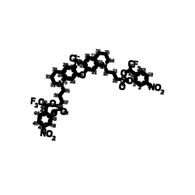 O=[N+]([O-])c1ccc(C(OS(=O)(=O)CCCN2CCCc3cc4c(cc32)Oc2cc3c(cc2=N4)CCC[N+]=3CCCS(=O)(=O)OC(c2ccc([N+](=O)[O-])cc2)C(F)(F)F)C(F)(F)F)cc1.[Cl-]